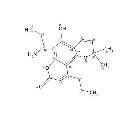 CCCc1cc(=O)oc2c(C(N)CC)c(O)c3c(c12)OC(C)(C)C=C3